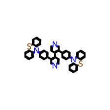 c1ccc2c(c1)Sc1ccccc1N2c1ccc(-c2cnccc2-c2ccncc2-c2ccc(N3c4ccccc4Sc4ccccc43)cc2)cc1